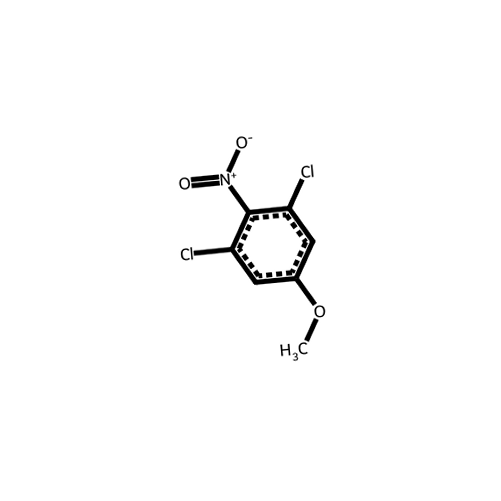 COc1cc(Cl)c([N+](=O)[O-])c(Cl)c1